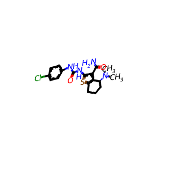 CN(C)[C@H]1CCCc2sc(NC(=O)Nc3ccc(Cl)cc3)c(C(N)=O)c21